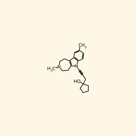 Cc1ccc2c(c1)c1c(n2C#CCC2(O)CCCC2)CCN(C)CC1